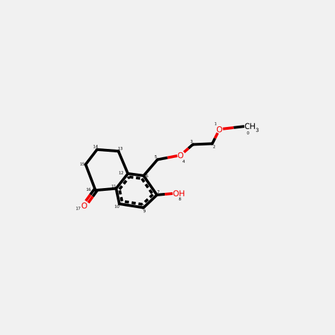 COCCOCc1c(O)ccc2c1CCCC2=O